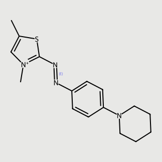 Cc1c[n+](C)c(/N=N/c2ccc(N3CCCCC3)cc2)s1